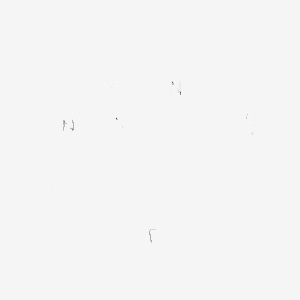 Fc1ccc2ccnc(N3CCN(C[C@@H]4CO4)CC3)c2c1